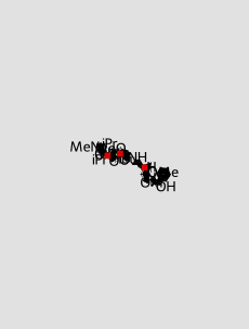 CC[C@H](C)[C@@H]([C@@H](CC(=O)NCCC[C@@H]1C[C@@]1(OC)[C@@H](C)C(=O)N[C@H](C)[C@@H](O)c1ccccc1)OC)N(C)C(=O)[C@@H](NC(=O)[C@@H](NC)C(C)C)C(C)C